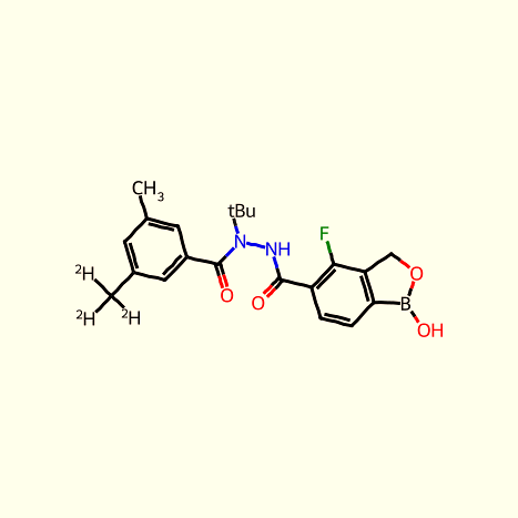 [2H]C([2H])([2H])c1cc(C)cc(C(=O)N(NC(=O)c2ccc3c(c2F)COB3O)C(C)(C)C)c1